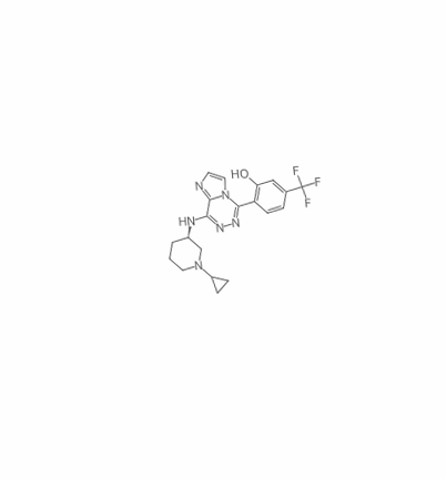 Oc1cc(C(F)(F)F)ccc1-c1nnc(N[C@@H]2CCCN(C3CC3)C2)c2nccn12